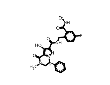 CCNC(=O)c1cc(F)ccc1CNC(=O)c1nn2c(c1O)C(=O)N(C)C[C@@H]2c1ccccc1